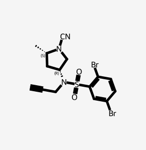 C#CCN([C@@H]1C[C@H](C)N(C#N)C1)S(=O)(=O)c1cc(Br)ccc1Br